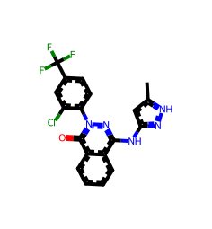 Cc1cc(Nc2nn(-c3ccc(C(F)(F)F)cc3Cl)c(=O)c3ccccc23)n[nH]1